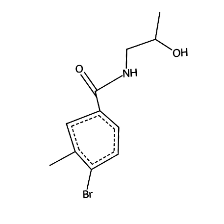 Cc1cc(C(=O)NCC(C)O)ccc1Br